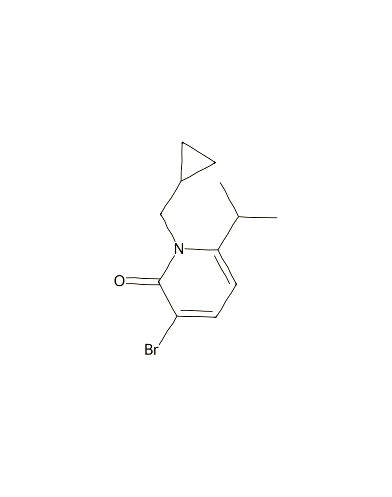 CC(C)c1ccc(Br)c(=O)n1CC1CC1